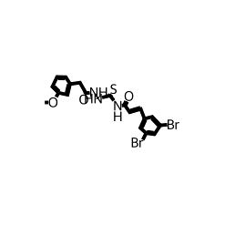 COc1cccc(CC(=O)NNC(=S)NC(=O)C=Cc2cc(Br)cc(Br)c2)c1